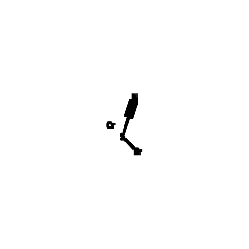 N#CSBr.[Cr]